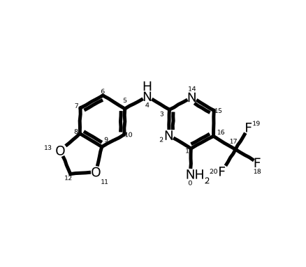 Nc1nc(Nc2ccc3c(c2)OCO3)ncc1C(F)(F)F